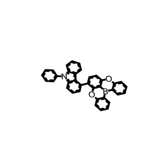 c1ccc(-n2c3ccccc3c3c(-c4ccc5c6c4Oc4ccccc4B6c4ccccc4O5)cccc32)cc1